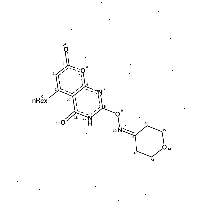 CCCCCCc1cc(=O)oc2nc(ON=C3CCOCC3)[nH]c(=O)c12